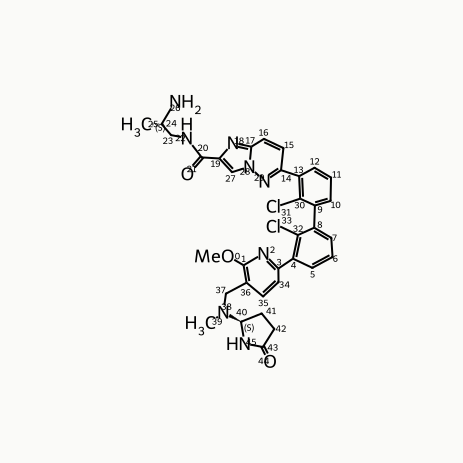 COc1nc(-c2cccc(-c3cccc(-c4ccc5nc(C(=O)NC[C@H](C)N)cn5n4)c3Cl)c2Cl)ccc1CN(C)[C@H]1CCC(=O)N1